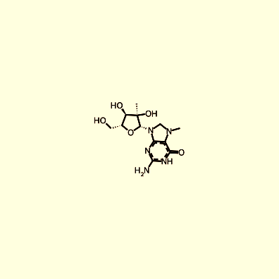 CN1CN([C@@H]2O[C@H](CO)[C@@H](O)[C@@]2(C)O)c2nc(N)[nH]c(=O)c21